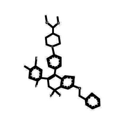 COC(OC)C1CCN(c2ccc(C3=C(c4cc(F)c(C)cc4F)CC(F)(F)c4cc(OCc5ccccc5)ccc43)cc2)CC1